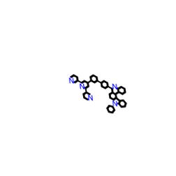 c1ccc(-n2c3ccccc3c3c4c(ccc32)c(-c2ccc(-c3cccc(-c5cc(-c6cccnc6)nc(-c6cccnc6)c5)c3)cc2)nc2ccccc24)cc1